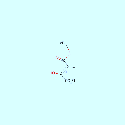 CCCCOC(=O)/C(C)=C(\O)C(=O)OCC